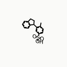 Cc1ccc(S(=O)(=O)O)cc1C1CCc2ccccc21